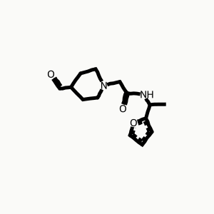 CC(NC(=O)CN1CCC(C=O)CC1)c1ccco1